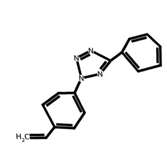 C=Cc1ccc(-n2nnc(-c3ccccc3)n2)cc1